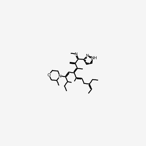 C=C(/C(=N\C)c1cc[nH]n1)/C(C)=C(\C=C(/C(C)CC)N1CCOCC1C)C(/C)=C/C/C(=C\C)CC